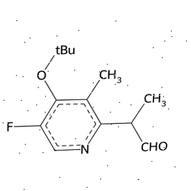 Cc1c(C(C)C=O)ncc(F)c1OC(C)(C)C